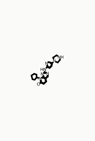 O=c1ccc2cnc(Nc3ccc(N4CCNCC4)cn3)nc2n1C1CCCCC1